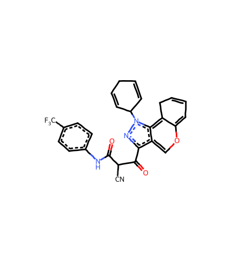 N#CC(C(=O)Nc1ccc(C(F)(F)F)cc1)C(=O)c1nn(C2C=CCC=C2)c2c1=COC1=CC=CCC=21